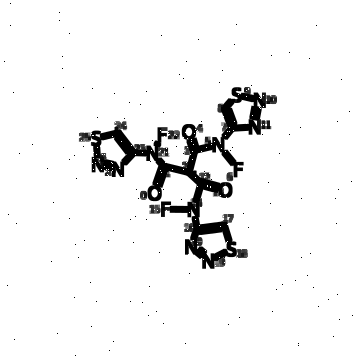 O=C([C](C(=O)N(F)c1csnn1)C(=O)N(F)c1csnn1)N(F)c1csnn1